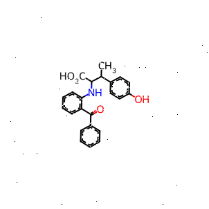 CC(c1ccc(O)cc1)C(Nc1ccccc1C(=O)c1ccccc1)C(=O)O